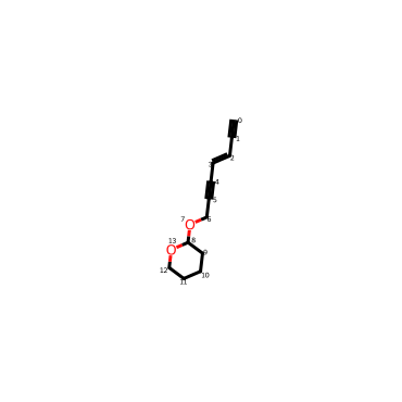 C#CC=CC#CCOC1CCCCO1